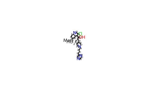 COc1ccc2ncc(Cl)c([C@@H](O)CCC3(C(=O)O)CCN(CCCCc4cnccn4)CC3)c2c1